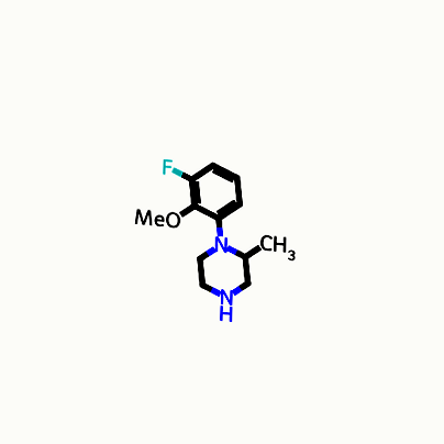 COc1c(F)cccc1N1CCNCC1C